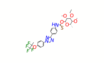 CCO[C@@H]1[C@@H](OC)[C@H](C)O[C@@H](OC(=S)Nc2ccc(-c3ncn(-c4ccc(OC(C)(F)C(F)(F)F)cc4)n3)cc2)[C@@H]1OC